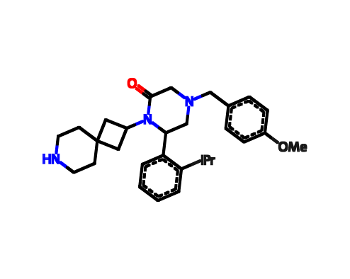 COc1ccc(CN2CC(=O)N(C3CC4(CCNCC4)C3)C(c3ccccc3C(C)C)C2)cc1